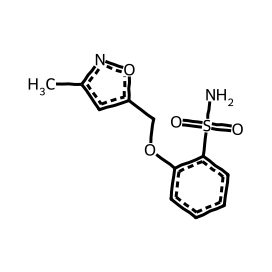 Cc1cc(COc2ccccc2S(N)(=O)=O)on1